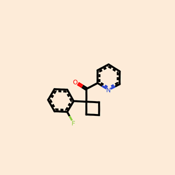 O=C(c1ccccn1)C1(c2ccccc2F)CCC1